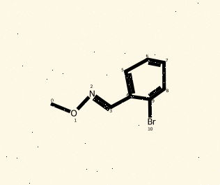 CON=Cc1ccccc1Br